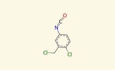 O=C=Nc1ccc(Cl)c(CCl)c1